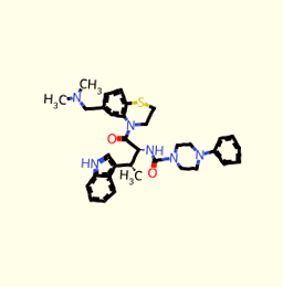 C[C@H](c1c[nH]c2ccccc12)[C@@H](NC(=O)N1CCN(c2ccccc2)CC1)C(=O)N1CCSc2ccc(CN(C)C)cc21